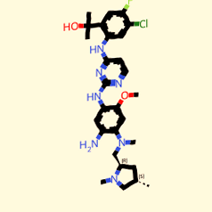 COc1cc(N(C)C[C@H]2C[C@H](C)CN2C)c(N)cc1Nc1nccc(Nc2cc(Cl)c(F)cc2C(C)(C)O)n1